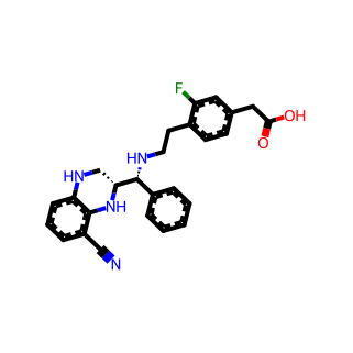 N#Cc1cccc2c1N[C@@H]([C@H](NCCc1ccc(CC(=O)O)cc1F)c1ccccc1)CN2